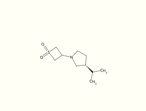 CC(C)[C@@H]1CCN(C2CS(=O)(=O)C2)C1